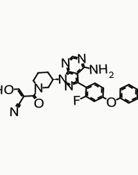 N#CC(=CO)C(=O)N1CCC[C@@H](n2nc(-c3ccc(Oc4ccccc4)cc3F)c3c(N)ncnc32)C1